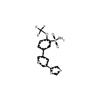 NS(=O)(=O)c1cc(-c2cncc(-c3cscn3)c2)ccc1OC(F)(F)F